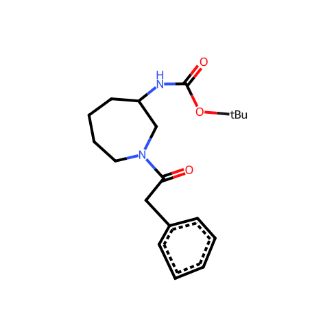 CC(C)(C)OC(=O)NC1CCCCN(C(=O)Cc2ccccc2)C1